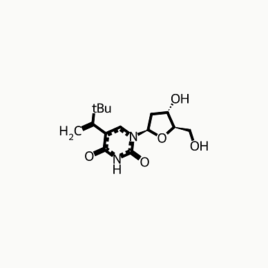 C=C(c1cn([C@H]2C[C@H](O)[C@@H](CO)O2)c(=O)[nH]c1=O)C(C)(C)C